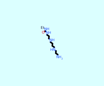 [CH2]CNC(=O)NCCCNCCCCNCCCN